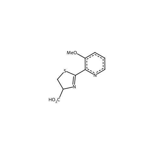 COc1cccnc1C1=NC(C(=O)O)CS1